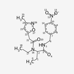 CCC(C(=O)NCc1ccc([N+](=O)[O-])cc1)N(CC)C(=O)Cc1cc(C)no1